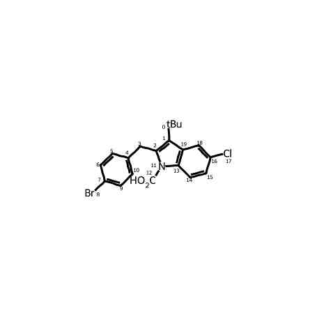 CC(C)(C)c1c(Cc2ccc(Br)cc2)n(C(=O)O)c2ccc(Cl)cc12